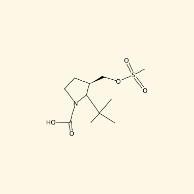 CC(C)(C)C1[C@H](COS(C)(=O)=O)CCN1C(=O)O